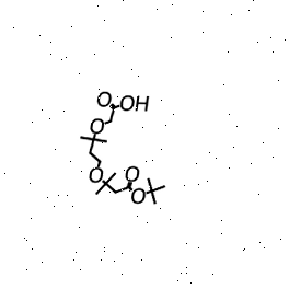 CC(C)(C)OC(=O)CC(C)(C)OCCC(C)(C)OCC(=O)O